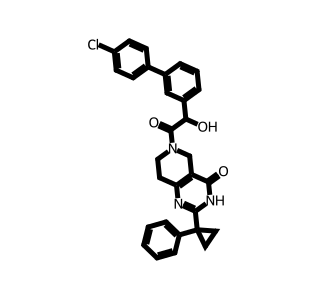 O=C(C(O)c1cccc(-c2ccc(Cl)cc2)c1)N1CCc2nc(C3(c4ccccc4)CC3)[nH]c(=O)c2C1